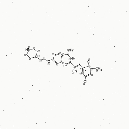 CCC[C@H](NC(=O)/C(C#N)=C/C1=NC(Cl)=CC(C)C1Cl)c1ccc(OCCN2CCNCC2)cc1